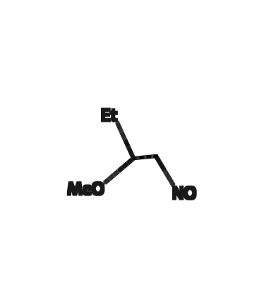 CCC(CN=O)OC